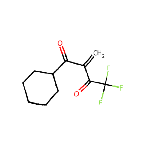 C=C(C(=O)C1CCCCC1)C(=O)C(F)(F)F